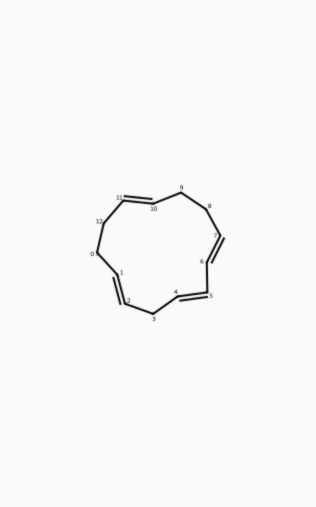 [CH]1/C=C/C/C=C/C=C/CC/C=C/C1